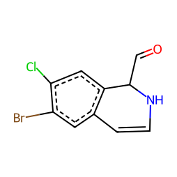 O=CC1NC=Cc2cc(Br)c(Cl)cc21